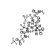 CC(C)(C)OC(=O)C(C)(C)NC(=O)N[C@H](C(=O)N1C[C@H]2[C@@H]([C@H]1C(=O)NC(CC1CC1)C(=O)C(N)=O)C2(Cl)Cl)C(C)(C)C